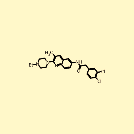 CCN1CCN(c2nc3ccc(NC(=O)Cc4ccc(Cl)c(Cl)c4)cc3cc2C)CC1